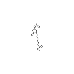 COC(=O)CCCCCCC1=C[C@H](OC(C)=O)CC1=O